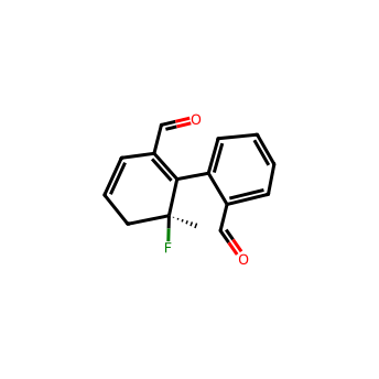 C[C@]1(F)CC=CC(C=O)=C1c1ccccc1C=O